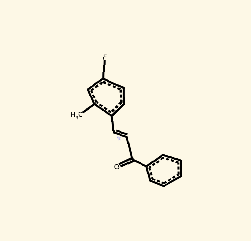 Cc1cc(F)ccc1/C=C/C(=O)c1ccccc1